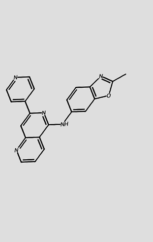 Cc1nc2ccc(Nc3nc(-c4ccncc4)cc4ncccc34)cc2o1